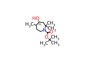 CC1CCN(C(=O)OC(C)(C)C)C(C)(C)C[C@@H]1O